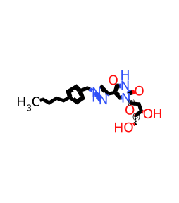 CCCCCc1ccc(Cn2cc(-c3cn([C@@H]4CC(O)[C@H](CO)O4)c(=O)[nH]c3=O)nn2)cc1